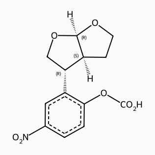 O=C(O)Oc1ccc([N+](=O)[O-])cc1[C@@H]1CO[C@H]2OCC[C@H]21